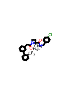 CN(Cc1ccc(Cl)cc1)C(=O)C1(C)CCN1C(=O)Cc1cccc(-c2ccccc2C(F)(F)F)c1